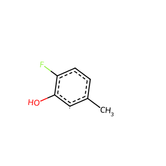 Cc1[c]c(O)c(F)cc1